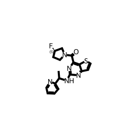 CC(Nc1nc(C(=O)N2CC[C@H](F)C2)c2sccc2n1)c1ccccn1